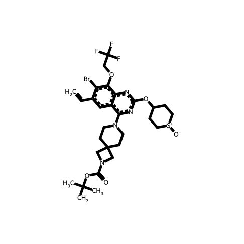 C=Cc1cc2c(N3CCC4(CC3)CN(C(=O)OC(C)(C)C)C4)nc(OC3CC[S+]([O-])CC3)nc2c(OCC(F)(F)F)c1Br